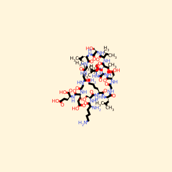 CC(C)C[C@H](NC(=O)[C@H](CCCCN)NC(=O)[C@H](CO)NC(=O)[C@@H](N)CCCCN)C(=O)NCC(=O)N[C@@H](CC(=O)O)C(=O)N[C@@H](CC(C)C)C(=O)N[C@H](C(=O)N[C@H](C(=O)N[C@H](C(=O)N[C@@H](CO)C(=O)N[C@@H](CC(C)C)C(=O)NCC(=O)NCC(=O)NCC(=O)N[C@@H](CCC(=O)O)C(=O)N[C@@H](CCC(=O)O)C(=O)O)C(C)C)[C@@H](C)O)C(C)C